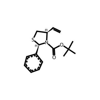 C=C[C@@H]1CS[C@H](c2ccccc2)N1C(=O)OC(C)(C)C